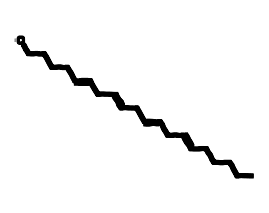 CCCCC/C=C/C/C=C/C/C=C/C/C=C/CCCC[O]